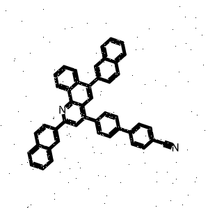 N#Cc1ccc(-c2ccc(-c3cc(-c4ccc5ccccc5c4)nc4c3cc(-c3ccc5ccccc5c3)c3ccccc34)cc2)cc1